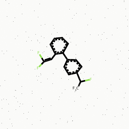 FC(F)=Cc1ccccc1-c1ccc(C(F)C(F)(F)F)cc1